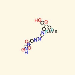 COc1cc(C2COc3cc(O)ccc3C2c2ccc(N3CCC(CN4CCN(c5ccc6c(c5)CN(C5CCC(=O)NC5=O)C6=O)CC4)CC3)c(F)c2)ccc1F